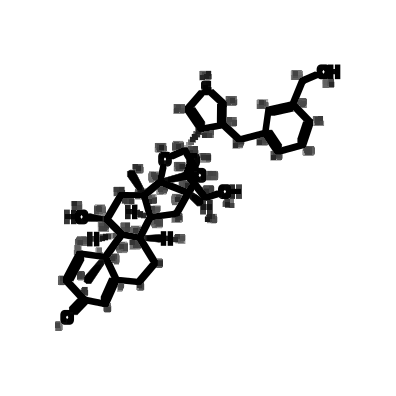 C[C@]12C=CC(=O)C=C1CC[C@@H]1[C@@H]2[C@@H](O)C[C@@]2(C)[C@H]1C[C@H]1O[C@@H](c3cscc3Cc3cccc(CO)c3)O[C@]12C(=O)CO